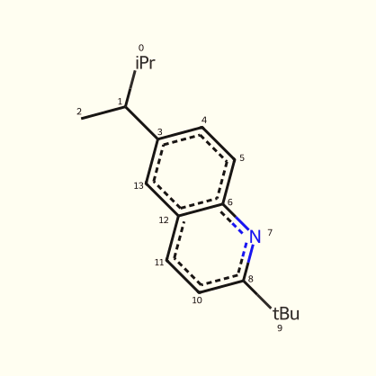 CC(C)C(C)c1ccc2nc(C(C)(C)C)ccc2c1